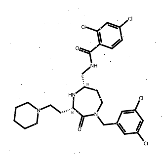 O=C(NC[C@@H]1CCN(Cc2cc(Cl)cc(Cl)c2)C(=O)[C@H](CCN2CCCCC2)N1)c1ccc(Cl)cc1Cl